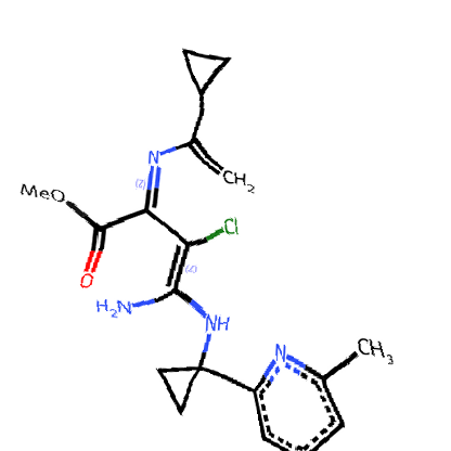 C=C(/N=C(C(=O)OC)\C(Cl)=C(/N)NC1(c2cccc(C)n2)CC1)C1CC1